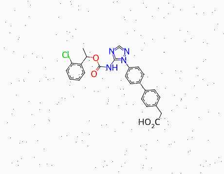 CC(OC(=O)Nc1ncnn1-c1ccc(-c2ccc(CC(=O)O)cc2)cc1)c1ccccc1Cl